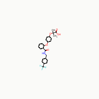 CC(C)(Oc1ccc(Oc2ccccc2C(=O)NCc2ccc(C(F)(F)F)cc2)cc1)C(=O)O